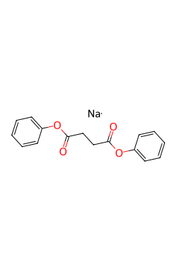 O=C(CCC(=O)Oc1ccccc1)Oc1ccccc1.[Na]